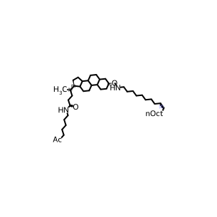 CCCCCCCC/C=C\CCCCCCCCNO[C@@H]1CCC2C(CCC3C2CCC2C3CC[C@@H]2[C@H](C)CCC(=O)NCCCCCC(C)=O)C1